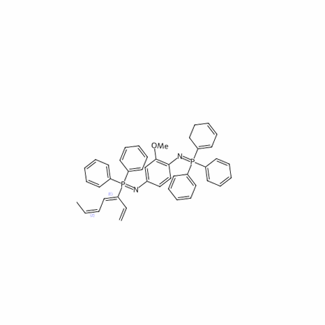 C=C/C(=C\C=C/C)P(=Nc1ccc(N=P(C2=CC=CCC2)(c2ccccc2)c2ccccc2)c(OC)c1)(c1ccccc1)c1ccccc1